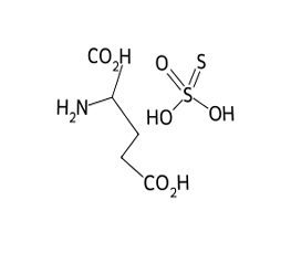 NC(CCC(=O)O)C(=O)O.O=S(O)(O)=S